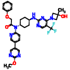 COc1ncc(-c2ccc(N(C(=O)COc3ccccc3)[C@H]3CC[C@H](Nc4ncc(C(F)(F)F)c(N5CC(C)(O)C5)n4)CC3)nc2)cn1